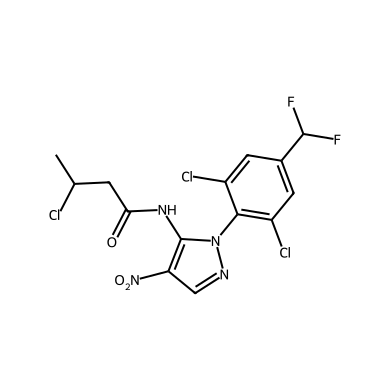 CC(Cl)CC(=O)Nc1c([N+](=O)[O-])cnn1-c1c(Cl)cc(C(F)F)cc1Cl